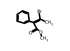 COC(=O)C(=C(C)Br)c1ccccc1